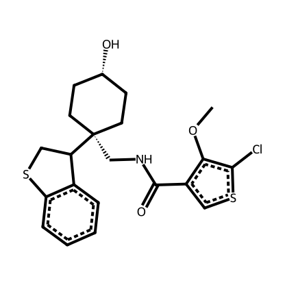 COc1c(C(=O)NC[C@]2(C3CSc4ccccc43)CC[C@H](O)CC2)csc1Cl